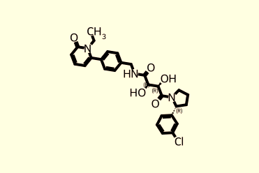 CCn1c(-c2ccc(CNC(=O)[C@H](O)[C@@H](O)C(=O)N3CCC[C@@H]3c3cccc(Cl)c3)cc2)cccc1=O